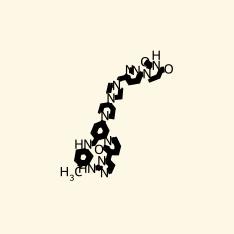 Cc1ccc(NC(=O)c2ccc(N3CCC(N4CCN(Cc5ccc(N6CCC(=O)NC6=O)nn5)CC4)CC3)cc2)cc1Nc1nccc(-c2cccnc2)n1